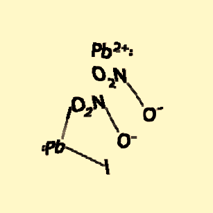 O=[N+]([O-])[O-].O=[N+]([O-])[O-].[I][Pb][I].[Pb+2]